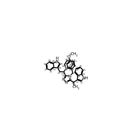 COc1ccc(Cn2c(C(C)c3c[nH]c4ccccc34)nnc2C(Cc2c[nH]c3ccccc23)N2CCNCC2)cc1